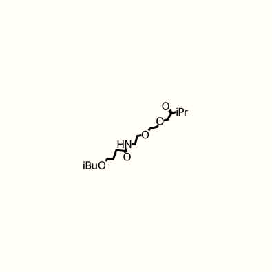 CC(C)COCCCC(=O)NCCOCCOCC(=O)C(C)C